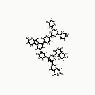 c1ccc(-c2nc(-c3ccccc3)nc(-c3ccc(-c4cc(-c5cccc(-c6nc(-c7ccc8ccccc8c7)nc(-c7cccc8ccccc78)n6)c5)cc5c4oc4ccccc45)cc3)n2)cc1